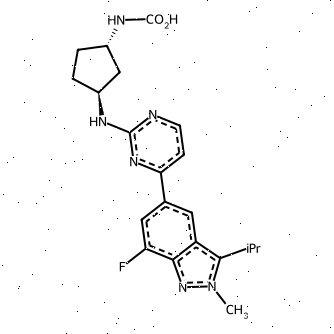 CC(C)c1c2cc(-c3ccnc(N[C@H]4CC[C@H](NC(=O)O)C4)n3)cc(F)c2nn1C